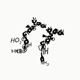 Cc1ccc(N2CCC[C@H](N(Cc3ccnc(C)c3)Cc3cn(C4CC4)c4cc(N5CCC[C@H](N(Cc6ccc(NC(=O)OC(C)(C)C)cc6)C(=O)O)C5)c(F)cc4c3=O)C2)cn1.Cc1ccc(N2CCC[C@H](N(Cc3ccnc(C)c3)Cc3cn(C4CC4)c4cc(N5CCC[C@H](OC(=O)NCc6ccc(N)cc6)C5)c(F)cc4c3=O)C2)cn1.Cl